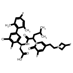 Cc1cc(F)cc(C)c1-c1cc(Cl)c(F)c([C@H](CC(=O)O)NC(=O)C(CC(C)C)n2cc(CCN3CC(F)C3)cc(F)c2=O)c1